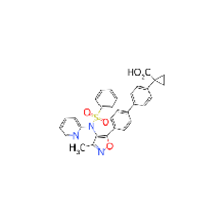 Cc1noc(-c2ccc(-c3ccc(C4(C(=O)O)CC4)cc3)cc2)c1N(c1ccccn1)S(=O)(=O)c1ccccc1